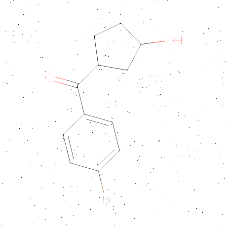 O=C(c1ccc(Br)cc1)C1CCC(O)C1